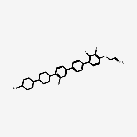 C=CCOc1ccc(-c2ccc(-c3ccc(C4CCC(C5CCC(CCC)CC5)CC4)c(F)c3)cc2)c(F)c1F